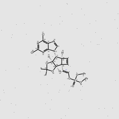 CC(C)OP(=O)(O/C=C/[C@@]12C=C[C@@H]1[C@@H](n1cnc3c(Cl)nc(Cl)nc31)[C@@H]1OC(C)(C)O[C@@H]12)OC(C)C